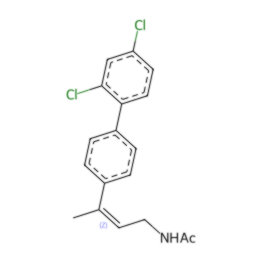 CC(=O)NC/C=C(/C)c1ccc(-c2ccc(Cl)cc2Cl)cc1